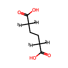 [2H]C([2H])(CCC([2H])([2H])C(=O)O)C(=O)O